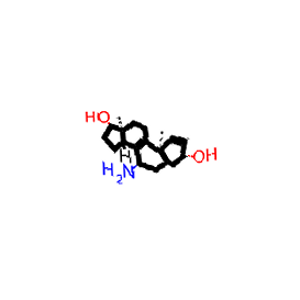 C[C@]12CCC3=C([C@@H](N)CC4C[C@@H](O)C=C[C@]34C)[C@@H]1CC[C@@H]2O